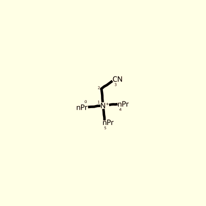 CCC[N+](CC#N)(CCC)CCC